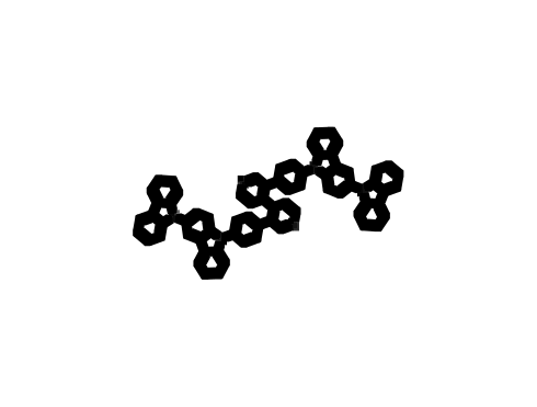 c1ccc2c(c1)c1ccccc1n2-c1ccc2c(c1)c1ccccc1n2-c1ccc(-c2cnccc2-c2ccncc2-c2ccc(-n3c4ccccc4c4cc(-n5c6ccccc6c6ccccc65)ccc43)cc2)cc1